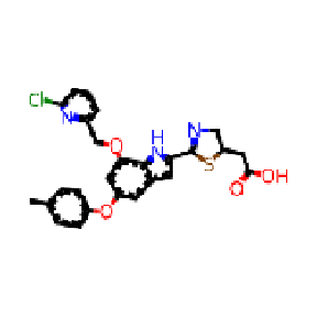 Cc1ccc(Oc2cc(OCc3cccc(Cl)n3)c3[nH]c(C4=NCC(CC(=O)O)S4)cc3c2)cc1